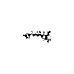 CC[C@H](C)[C@H](NC(=O)[C@@H](N)CCCNc1nc(C)cs1)C(=O)NC